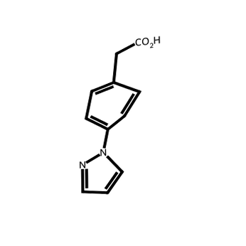 O=C(O)Cc1ccc(-n2cccn2)cc1